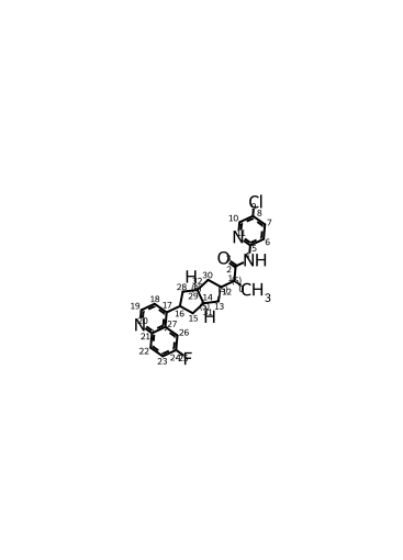 C[C@H](C(=O)Nc1ccc(Cl)cn1)[C@H]1C[C@H]2CC(c3ccnc4ccc(F)cc34)C[C@H]2C1